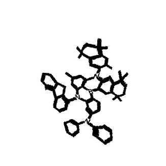 Cc1cc2c3c(c1)N(c1cccc4c1Cc1ccccc1-4)c1cc(N(c4ccccc4)c4ccccc4)ccc1B3c1cc3c(cc1N2c1cc2c(cc1C)C(C)(C)CC2(C)C)C(C)(C)CCC3(C)C